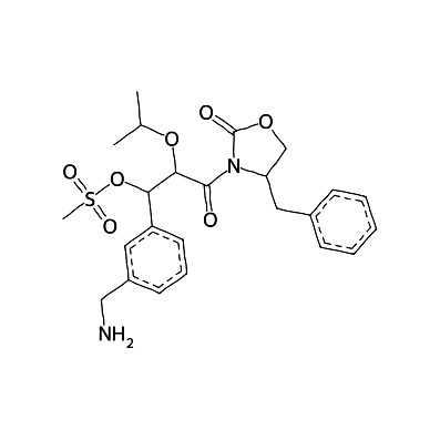 CC(C)OC(C(=O)N1C(=O)OCC1Cc1ccccc1)C(OS(C)(=O)=O)c1cccc(CN)c1